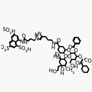 CCC1CC(C(=O)NCCCc2cn(CCCC(=O)Nc3cc(S(=O)(=O)O)cc4cc(S(=O)(=O)O)cc(S(=O)(=O)O)c34)nn2)CC(OC2OC(CO)C(O)C(O[C@@H](CC3CCCCC3)C(=O)O)C2OC(=O)c2ccccc2)C1OC1CC(C)C(O)(CCO)CC1O